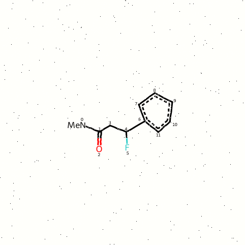 CNC(=O)CC(F)c1ccccc1